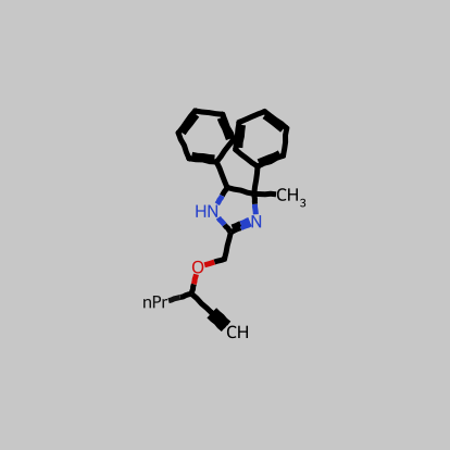 C#CC(CCC)OCC1=NC(C)(c2ccccc2)C(c2ccccc2)N1